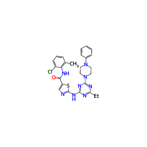 CCc1nc(Nc2ncc(C(=O)Nc3c(C)cccc3Cl)s2)nc(N2CCN(c3ccccc3)CC2)n1